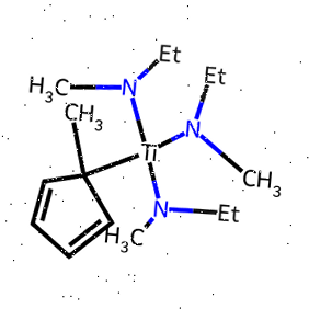 CC[N](C)[Ti]([N](C)CC)([N](C)CC)[C]1(C)C=CC=C1